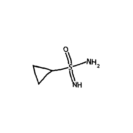 N=S(N)(=O)C1CC1